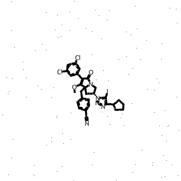 COC1=C(c2cc(Cl)cc(Cl)c2)C(=O)N2C[C@@H](n3nnc(C4CCCC4)c3I)CC12Cc1ccc(C#N)cc1